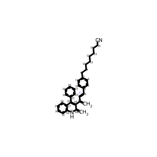 C=C(/C=C/c1ccc(CCCCCCCCC#N)cc1)C1=C(c2ccccc2)c2ccccc2NC1=C